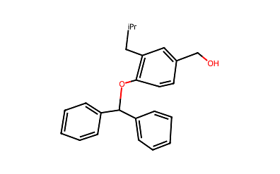 CC(C)Cc1cc(CO)ccc1OC(c1ccccc1)c1ccccc1